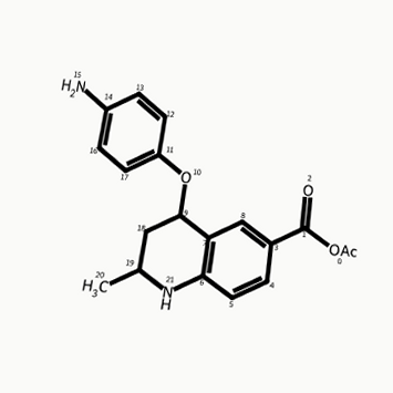 CC(=O)OC(=O)c1ccc2c(c1)C(Oc1ccc(N)cc1)CC(C)N2